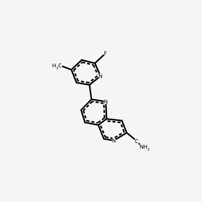 Cc1cc(F)nc(-c2ccc3cnc(CN)cc3n2)c1